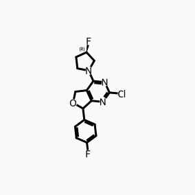 Fc1ccc(C2OCc3c2nc(Cl)nc3N2CC[C@@H](F)C2)cc1